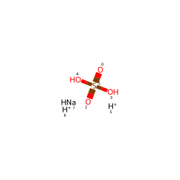 O=S(=O)(O)O.[H+].[H+].[NaH]